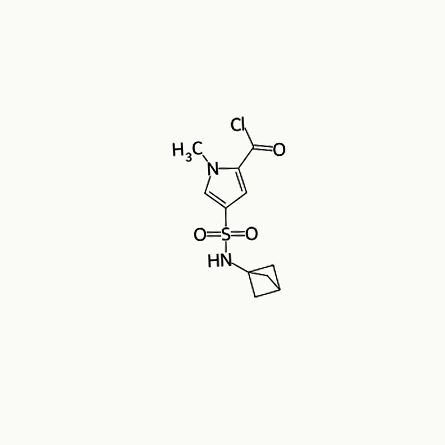 Cn1cc(S(=O)(=O)NC23CC(C2)C3)cc1C(=O)Cl